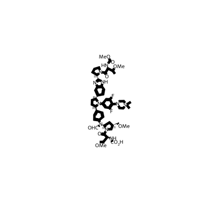 COC[C@H]1C[C@@H](N(C=O)c2ccc([C@H]3CC[C@H](c4ccc5[nH]c([C@@H]6CCCN6C(=O)[C@@H](NC(=O)OC)C(C)OC)nc5c4)N3c3cc(F)c(N4CC[Si](C)(C)CC4)c(F)c3)cc2)N(C(=O)[C@@H](NC(=O)O)[C@@H](C)OC)C1